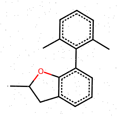 [CH2]C1Cc2cccc(-c3c(C)cccc3C)c2O1